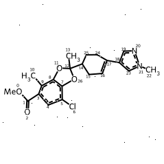 COC(=O)c1cc(Cl)c2c(c1C)OC(C)(C1CC=C(c3cnn(C)c3)CC1)O2